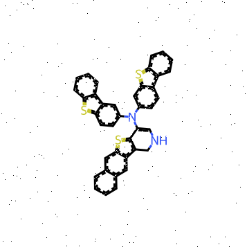 C1=C(N(c2ccc3c(c2)sc2ccccc23)c2ccc3sc4ccccc4c3c2)c2sc3cc4ccccc4cc3c2CN1